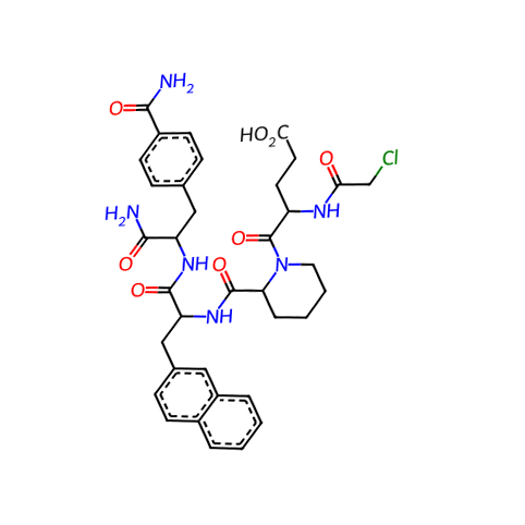 NC(=O)c1ccc(CC(NC(=O)C(Cc2ccc3ccccc3c2)NC(=O)C2CCCCN2C(=O)C(CCC(=O)O)NC(=O)CCl)C(N)=O)cc1